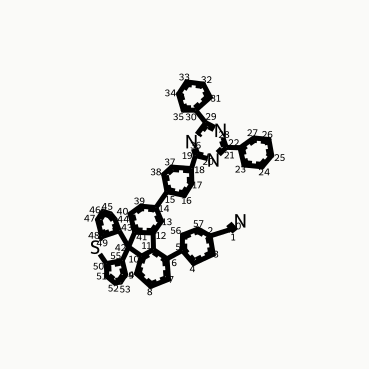 N#Cc1ccc(-c2cccc3c2-c2cc(-c4ccc(-c5nc(-c6ccccc6)nc(-c6ccccc6)n5)cc4)ccc2C32c3ccccc3Sc3ccccc32)cc1